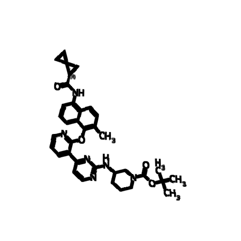 Cc1ccc2c(NC(=O)[C@@H]3CC34CC4)cccc2c1Oc1ncccc1-c1ccnc(NC2CCCN(C(=O)OC(C)(C)C)C2)n1